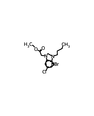 Br.CCCCN1CN(CC(=O)OCC)c2cc(Cl)ccc21